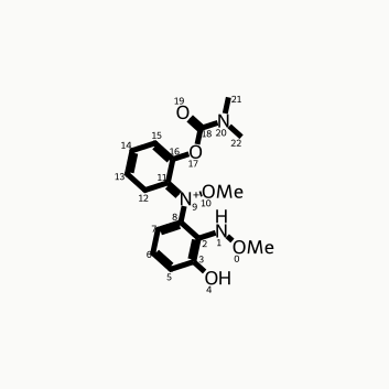 CONc1c(O)cccc1/[N+](OC)=C1\CC=CC=C1OC(=O)N(C)C